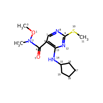 CON(C)C(=O)c1cnc(SC)nc1NC1CCCC1